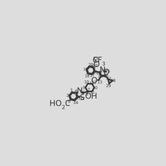 O=C(O)c1ccc2nc([C@]3(O)CC[C@@H](OCc4c(-c5ccccc5OC(F)(F)F)noc4C4CC4)CC3)sc2c1